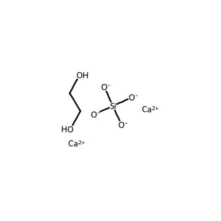 OCCO.[Ca+2].[Ca+2].[O-][Si]([O-])([O-])[O-]